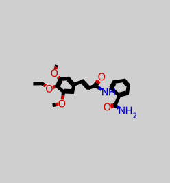 CCOc1c(OC)cc(C=CC(=O)Nc2ccccc2C(N)=O)cc1OC